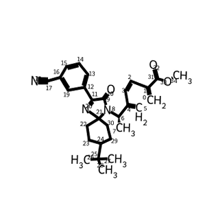 C=C(/C=C\C(=C)[C@@H](C)N1C(=O)C(c2cccc(C#N)c2)=NC12CCC(C(C)(C)C)CC2)C(=O)OC